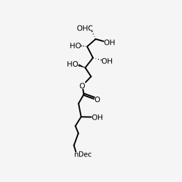 CCCCCCCCCCCCCC(O)CC(=O)OC[C@@H](O)[C@@H](O)[C@H](O)[C@@H](O)C=O